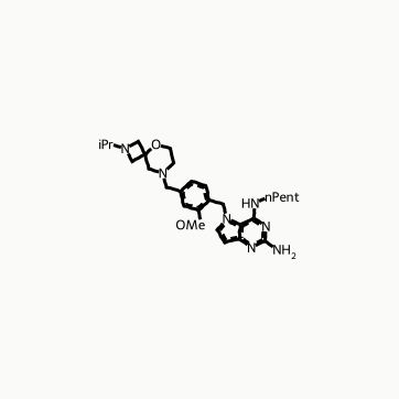 CCCCCNc1nc(N)nc2ccn(Cc3ccc(CN4CCOC5(C4)CN(C(C)C)C5)cc3OC)c12